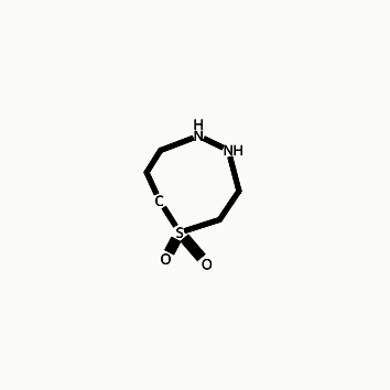 O=S1(=O)CCCNNCC1